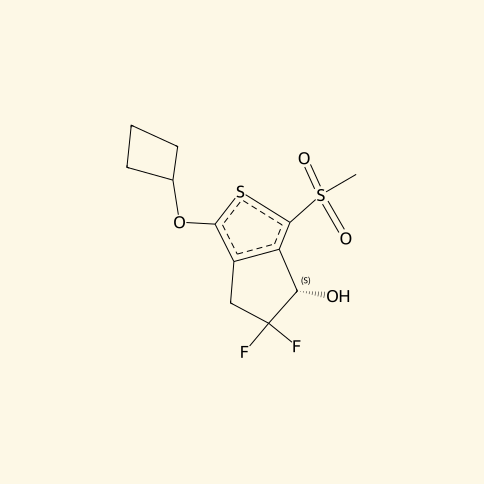 CS(=O)(=O)c1sc(OC2CCC2)c2c1[C@H](O)C(F)(F)C2